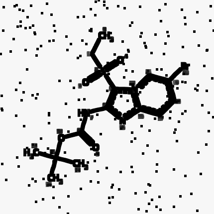 CCS(=O)(=O)c1c(NC(=O)OC(C)(C)C)nc2ccc(Br)cn12